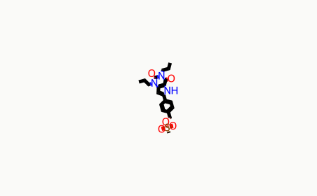 CCCn1c(=O)c2[nH]c(-c3ccc(COS(C)(=O)=O)cc3)cc2n(CCC)c1=O